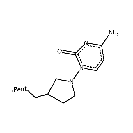 CCCC(C)CC1CCN(n2ccc(N)nc2=O)C1